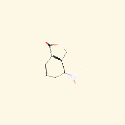 O=C1OCC2=C1CCCC2[N+](=O)[O-]